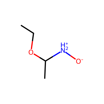 CCOC(C)[NH2+][O-]